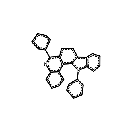 c1ccc(-c2nc3ccccc3c3c2ccc2c4ccccc4n(-c4ccccc4)c23)cc1